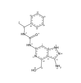 CC(NC(=O)Nc1cc2[nH]nc(N)c2c(CO)n1)c1ccccc1